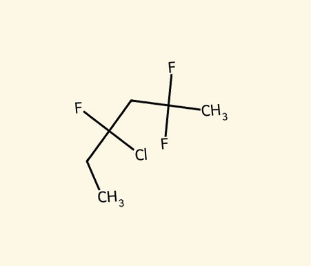 CCC(F)(Cl)CC(C)(F)F